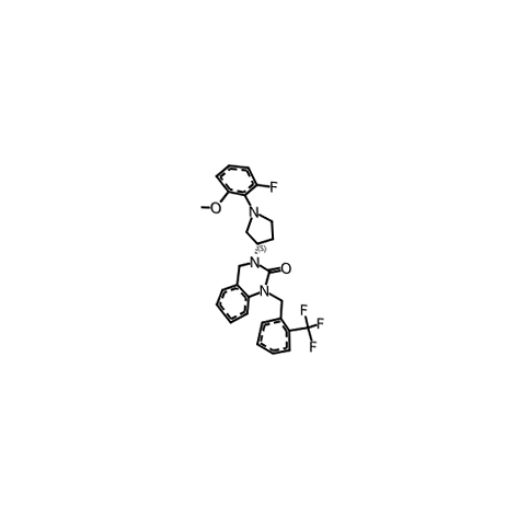 COc1cccc(F)c1N1CC[C@H](N2Cc3ccccc3N(Cc3ccccc3C(F)(F)F)C2=O)C1